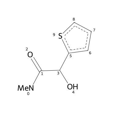 CNC(=O)C(O)c1cccs1